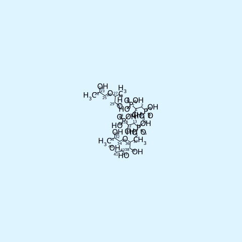 CC(CP(=O)(O)O)P(=O)(O)O.CC(CP(=O)(O)O)P(=O)(O)O.CC(O)COC(C)CO.CC(O)COC(C)CO.OCCO